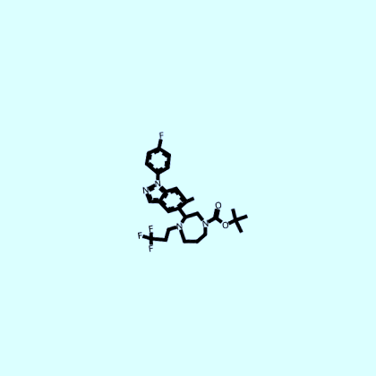 Cc1cc2c(cnn2-c2ccc(F)cc2)cc1C1CN(C(=O)OC(C)(C)C)CCCN1CCC(F)(F)F